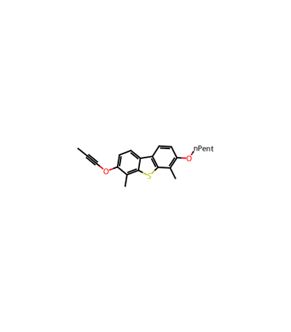 CC#COc1ccc2c(sc3c(C)c(OCCCCC)ccc32)c1C